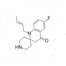 C/C=C/CN1c2ccc(F)cc2C(=O)CC12CCNCC2